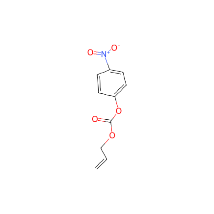 C=CCOC(=O)Oc1ccc([N+](=O)[O-])cc1